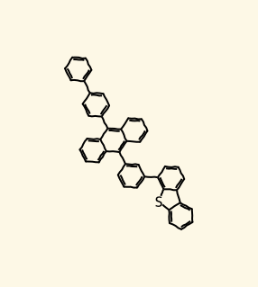 c1ccc(-c2ccc(-c3c4ccccc4c(-c4cccc(-c5cccc6c5sc5ccccc56)c4)c4ccccc34)cc2)cc1